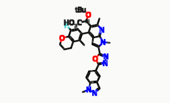 Cc1nc2c(cc(-c3nnc(-c4ccc5c(cnn5C)c4)o3)n2C)c(-c2cc(F)c3c(c2C)CCCO3)c1[C@H](OC(C)(C)C)C(=O)O